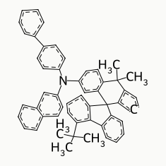 CC(C)(C)c1cccc2c1-c1ccccc1C21c2ccccc2C(C)(C)c2ccc(N(c3ccc(-c4ccccc4)cc3)c3ccc4ccccc4c3)cc21